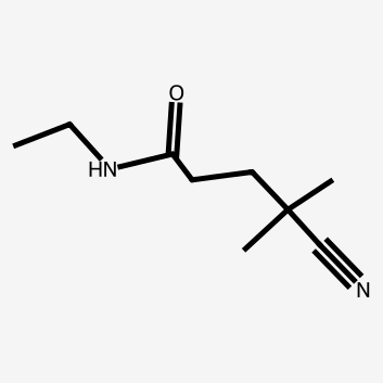 CCNC(=O)CCC(C)(C)C#N